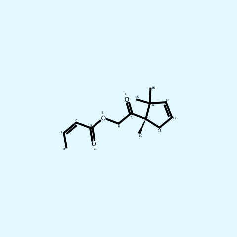 C/C=C\C(=O)OCC(=O)[C@@]1(C)CC=CC1(C)C